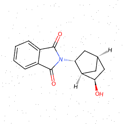 O=C1c2ccccc2C(=O)N1[C@@H]1C[C@@H]2C[C@H]1[C@H](O)C2